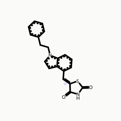 O=C1NC(=O)/C(=C/c2cccc3c2ccn3CCc2ccccc2)S1